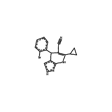 N#CC1=C(C2CC2)Nc2n[nH]cc2C1c1ccccc1Br